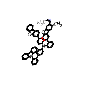 C/C=C\c1cc2oc3ccc(-c4ccccc4N(c4ccc(-c5ccc6c(c5)oc5ccccc56)cc4)c4ccc(-c5ccccc5-n5c6ccccc6c6ccccc65)cc4)cc3c2cc1C